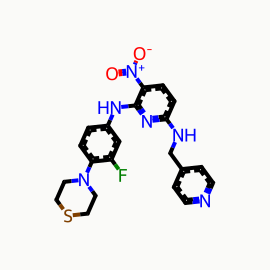 O=[N+]([O-])c1ccc(NCc2ccncc2)nc1Nc1ccc(N2CCSCC2)c(F)c1